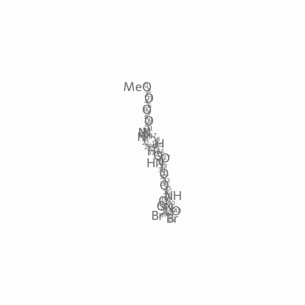 COCCOCCOCCOCCn1nnc2c1CC[C@H]1[C@@H](CC2)[C@H]1COC(=O)NCCOCCOCCNC(=O)CN1C(=O)C(Br)=C(Br)C1=O